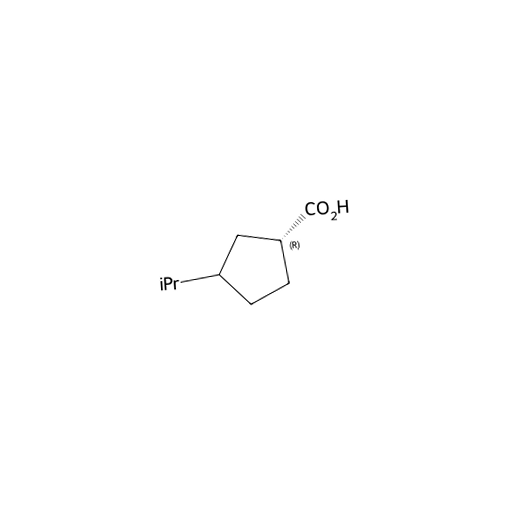 CC(C)C1CC[C@@H](C(=O)O)C1